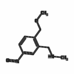 CNCc1cc(N=O)ccc1COC